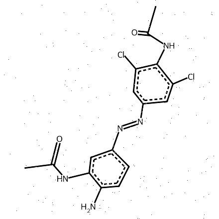 CC(=O)Nc1cc(N=Nc2cc(Cl)c(NC(C)=O)c(Cl)c2)ccc1N